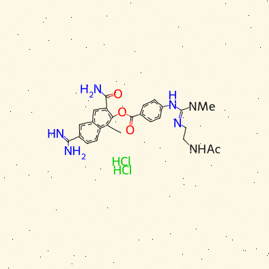 CNC(=NCCNC(C)=O)Nc1ccc(C(=O)Oc2c(C(N)=O)cc3cc(C(=N)N)ccc3c2C)cc1.Cl.Cl